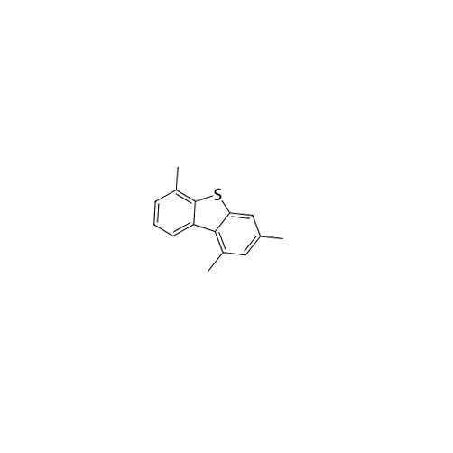 Cc1cc(C)c2c(c1)sc1c(C)cccc12